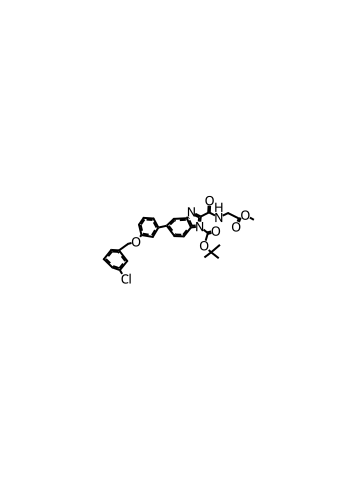 COC(=O)CNC(=O)c1nc2cc(-c3cccc(OCc4cccc(Cl)c4)c3)ccc2n1C(=O)OC(C)(C)C